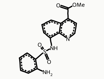 COC(=O)c1ccnc2c(NS(=O)(=O)c3ccccc3N)cccc12